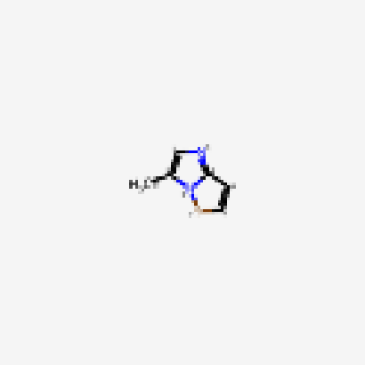 Cc1cnc2ccsn12